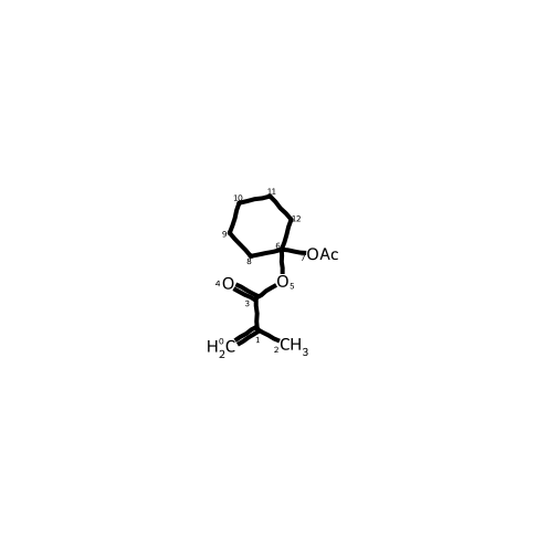 C=C(C)C(=O)OC1(OC(C)=O)CCCCC1